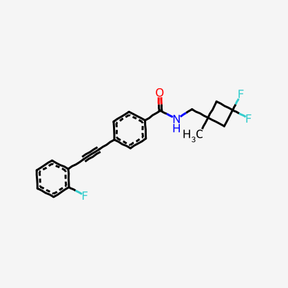 CC1(CNC(=O)c2ccc(C#Cc3ccccc3F)cc2)CC(F)(F)C1